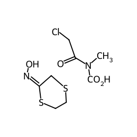 CN(C(=O)O)C(=O)CCl.ON=C1CSCCS1